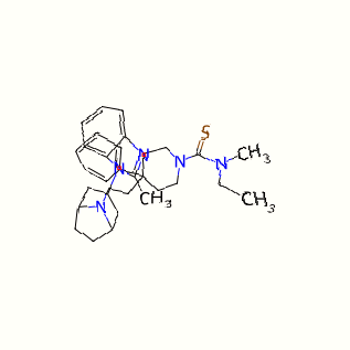 CCN(C)C(=S)N1CCC(CCN2C3CCC2CC(n2c(C)nc4ccccc42)C3)(c2ccccc2)CC1